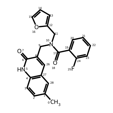 Cc1ccc2[nH]c(=O)c(CN(Cc3ccco3)C(=O)c3ccccc3F)cc2c1